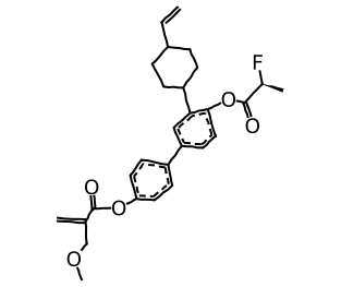 C=CC1CCC(c2cc(-c3ccc(OC(=O)C(=C)COC)cc3)ccc2OC(=O)[C@H](C)F)CC1